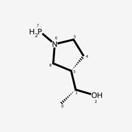 C[C@@H](O)[C@H]1CCN(P)C1